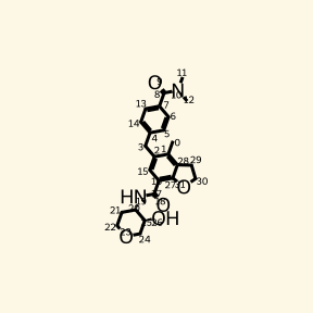 Cc1c(Cc2ccc(C(=O)N(C)C)cc2)cc(C(=O)N[C@H]2CCOC[C@@H]2O)c2c1CCO2